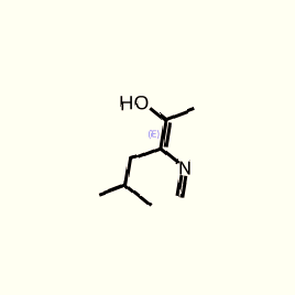 C=N/C(CC(C)C)=C(\C)O